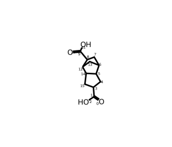 O=C(O)C1CC2C3CC(C(=O)O)C(C3)C2C1